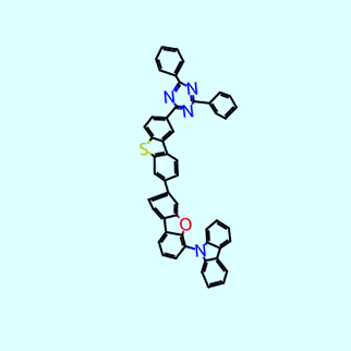 c1ccc(-c2nc(-c3ccccc3)nc(-c3ccc4sc5cc(-c6ccc7c(c6)oc6c(-n8c9ccccc9c9ccccc98)cccc67)ccc5c4c3)n2)cc1